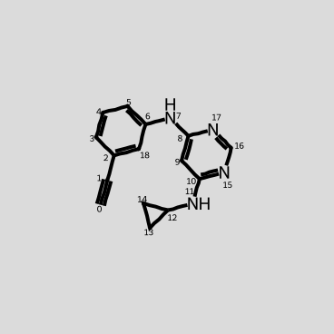 C#Cc1cccc(Nc2cc(NC3CC3)ncn2)c1